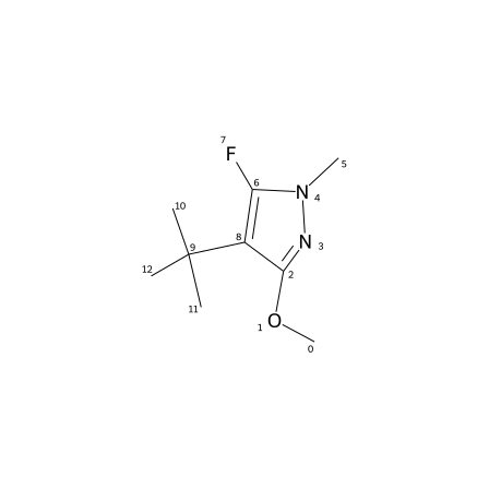 COc1nn(C)c(F)c1C(C)(C)C